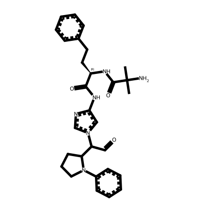 CC(C)(N)C(=O)N[C@H](CCc1ccccc1)C(=O)Nc1cn(C(C=O)C2CCCN2c2ccccc2)cn1